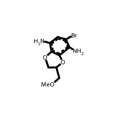 COCC1COc2c(N)cc(Br)c(N)c2O1